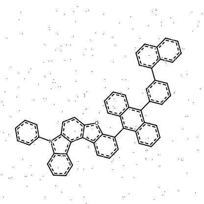 c1ccc(-n2c3ccccc3c3c4c(ccc32)oc2c(-c3c5ccccc5c(-c5cccc(-c6cccc7ccccc67)c5)c5ccccc35)cccc24)cc1